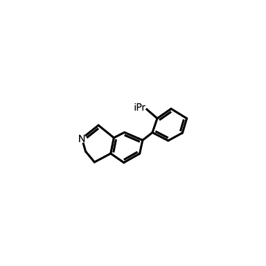 CC(C)c1ccccc1-c1ccc2c(c1)C=NCC2